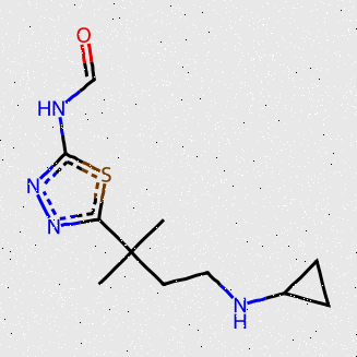 CC(C)(CCNC1CC1)c1nnc(NC=O)s1